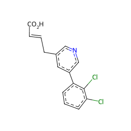 O=C(O)C=CCc1cncc(-c2cccc(Cl)c2Cl)c1